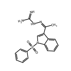 C/C(=N/NC(=N)N)c1cn(S(=O)(=O)c2ccccc2)c2ccccc12